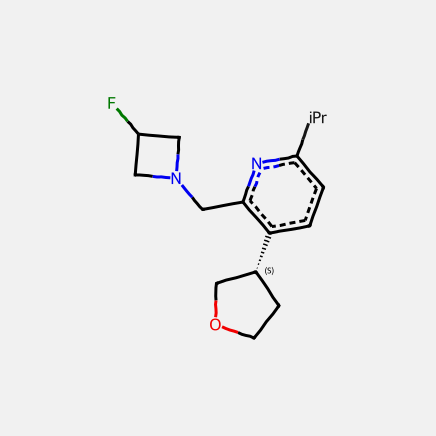 CC(C)c1ccc([C@@H]2CCOC2)c(CN2CC(F)C2)n1